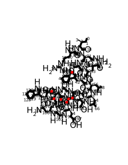 CC[C@H](C)[C@H](NC(=O)[C@@H](N)CCCNC(=N)N)C(=O)N[C@@H](CC(N)=O)C(=O)N[C@H](C(=O)N[C@@H](CCC(N)=O)C(=O)N[C@@H](Cc1c[nH]c2ccccc12)C(=O)N[C@@H](CC(C)C)C(=O)N[C@@H](CC(C)C)C(=O)N[C@H](C(=O)N[C@@H](CO)C(=O)NCC(=O)N[C@H](C(=O)N[C@H](C(=O)N[C@@H](CCC(=O)O)C(=O)N[C@@H](C)C(=O)N[C@@H](CC(N)=O)C(=O)N[C@@H](C)C(=O)N[C@@H](Cc1c[nH]c2ccccc12)C(=O)O)[C@@H](C)O)[C@@H](C)O)[C@@H](C)O)[C@@H](C)O